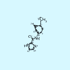 Cc1ccc(NC(=O)c2ncc[nH]2)cc1